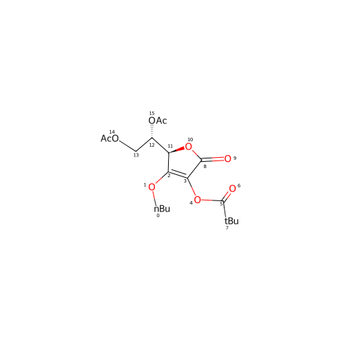 CCCCOC1=C(OC(=O)C(C)(C)C)C(=O)O[C@@H]1[C@H](COC(C)=O)OC(C)=O